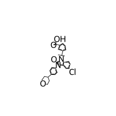 CC(C)(c1cccc(C(=O)O)c1)n1c(=O)n(-c2ccc(C3CCOCC3)cc2)c2cc(Cl)ccc21